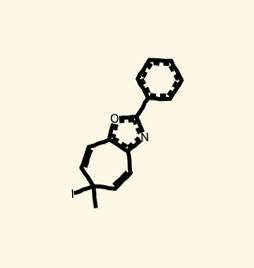 CC1(I)C=Cc2nc(-c3ccccc3)oc2C=C1